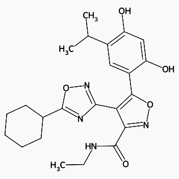 CCNC(=O)c1noc(-c2cc(C(C)C)c(O)cc2O)c1-c1noc(C2CCCCC2)n1